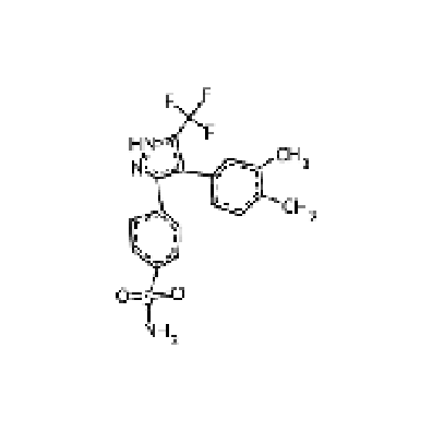 Cc1ccc(-c2c(-c3ccc(S(N)(=O)=O)cc3)n[nH]c2C(F)(F)F)cc1C